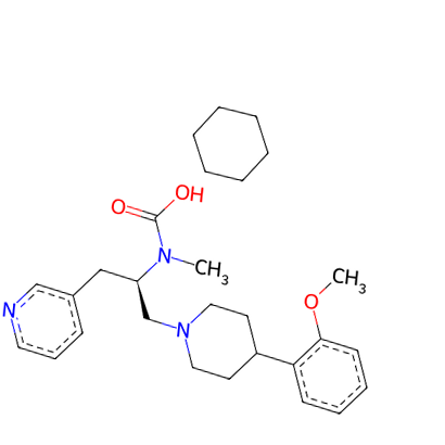 C1CCCCC1.COc1ccccc1C1CCN(C[C@@H](Cc2cccnc2)N(C)C(=O)O)CC1